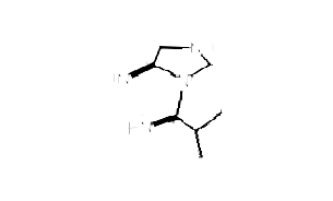 CC(C)C(=N)N1CNCC1=N